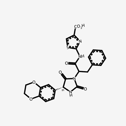 O=C(O)c1csc(NC(=O)C(Cc2ccccc2)N2C(=O)N[C@H](c3ccc4c(c3)OCCO4)C2=O)n1